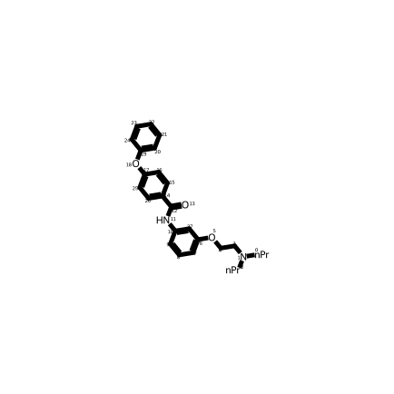 CCCN(CCC)CCOc1cccc(NC(=O)c2ccc(Oc3ccccc3)cc2)c1